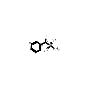 NS(=O)(=O)C(I)c1ccccc1